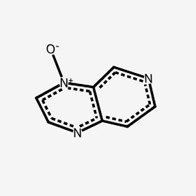 [O-][n+]1ccnc2ccncc21